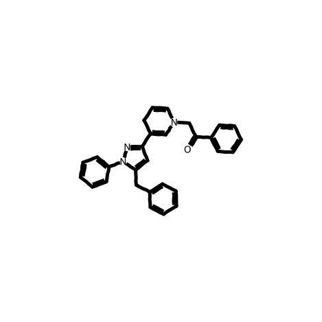 O=C(CN1C=CCC(c2cc(Cc3ccccc3)n(-c3ccccc3)n2)=C1)c1ccccc1